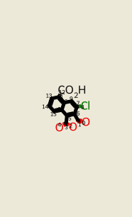 O=C1OC(=O)c2c1c(Cl)cc1c(C(=O)O)cccc21